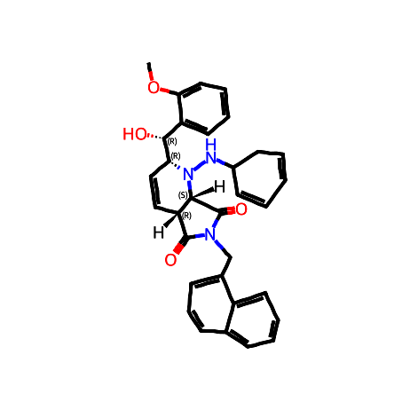 COc1ccccc1[C@@H](O)[C@H]1C=C[C@H]2C(=O)N(Cc3cccc4ccccc34)C(=O)[C@H]2N1NC1C=CC=CC1